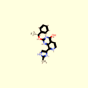 Cc1nc(-c2nccc3c(O)nc(O[C@@H](c4ccccc4)C(F)(F)F)nc23)c[nH]1